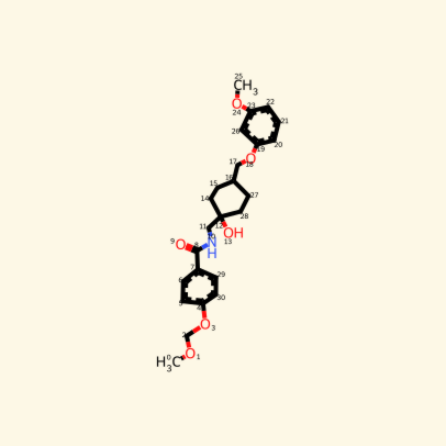 COCOc1ccc(C(=O)NCC2(O)CCC(COc3cccc(OC)c3)CC2)cc1